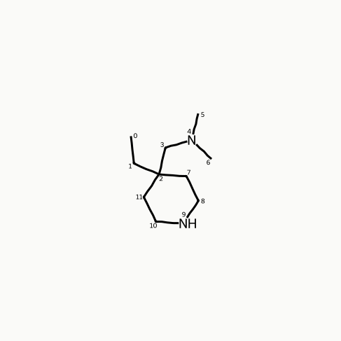 CCC1(CN(C)C)CCNCC1